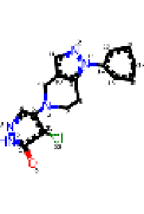 O=c1[nH]ncc(N2CCc3c(cnn3-c3ccccc3)C2)c1Cl